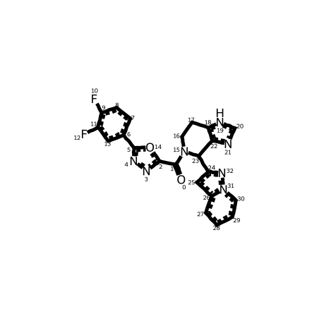 O=C(c1nnc(-c2ccc(F)c(F)c2)o1)N1CCc2[nH]cnc2C1c1cc2ccccn2n1